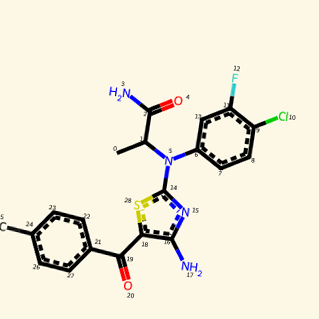 CC(C(N)=O)N(c1ccc(Cl)c(F)c1)c1nc(N)c(C(=O)c2ccc(C(=O)O)cc2)s1